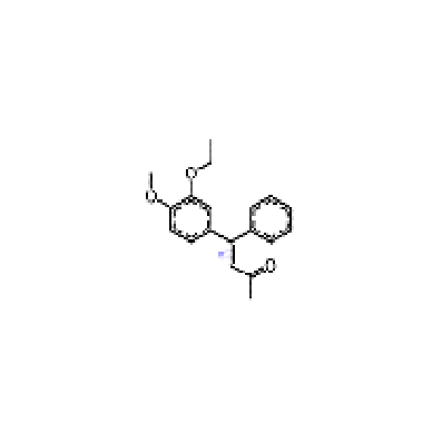 CCOc1cc(/C(=C/C(C)=O)c2ccccc2)ccc1OC